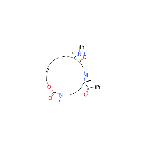 CC(C)N[C@]1(C)CCC/C=C\COC(=O)N(C)CCC[C@@](C)(C(=O)C(C)C)NCC1=O